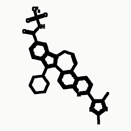 Cc1nc(C)c(-c2ccc3c4c(ccc3n2)-c2c(C3CCCCC3)c3ccc(C(=O)NS(=O)(=O)C(F)(F)F)cc3n2CC=C4)s1